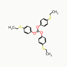 CCSc1ccc(OB(Oc2ccc(SCC)cc2)Oc2ccc(SCC)cc2)cc1